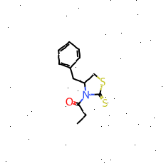 CCC(=O)N1C(=S)SCC1Cc1ccccc1